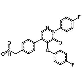 O=c1c(Oc2ccc(F)cc2)c(-c2ccc(C[SH](=O)=O)cc2)cnn1-c1ccc(F)cc1